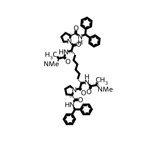 CN[C@@H](C)C(=O)N[C@@H](CCCCCC[C@H](NC(=O)[C@H](C)NC)C(=O)N1CCC[C@H]1C(=O)NC(c1ccccc1)c1ccccc1)C(=O)N1CCC[C@H]1C(=O)NC(c1ccccc1)c1ccccc1